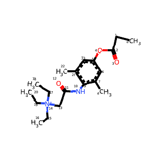 CCC(=O)Oc1cc(C)c(NC(=O)C[N+](CC)(CC)CC)c(C)c1